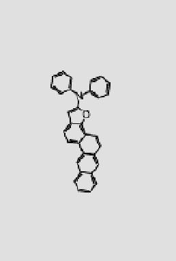 c1ccc(N(c2ccccc2)c2cc3ccc4c5cc6ccccc6cc5ccc4c3o2)cc1